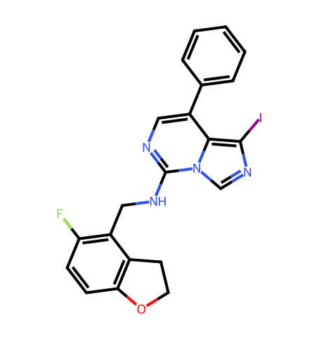 Fc1ccc2c(c1CNc1ncc(-c3ccccc3)c3c(I)ncn13)CCO2